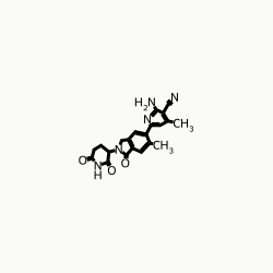 Cc1cc2c(cc1-c1cc(C)c(C#N)c(N)n1)CN(C1CCC(=O)NC1=O)C2=O